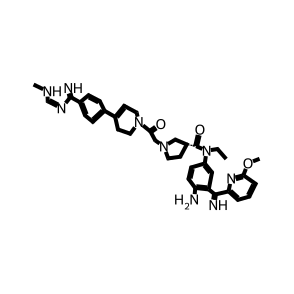 CCN(C(=O)[C@@H]1CCN(CC(=O)N2CC=C(c3ccc(C(=N)/N=C\NC)cc3)CC2)C1)c1ccc(N)c(C(=N)c2cccc(OC)n2)c1